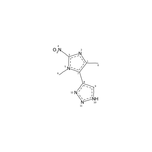 Cc1nc([N+](=O)[O-])n(C)c1-c1c[nH]nn1